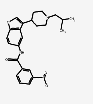 CC(C)CN1CCC(c2coc3ccc(NC(=O)c4cccc([N+](=O)[O-])c4)cc23)CC1